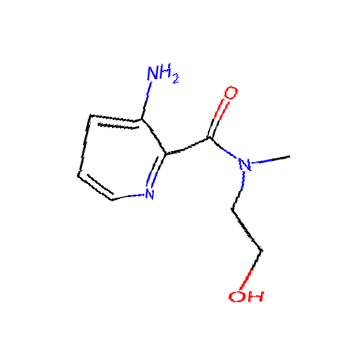 CN(CCO)C(=O)c1ncccc1N